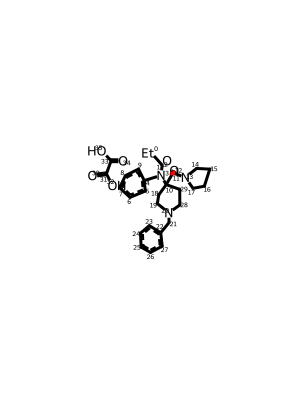 CCC(=O)N(c1ccccc1)C1(C(=O)N2CCCC2)CCN(Cc2ccccc2)CC1.O=C(O)C(=O)O